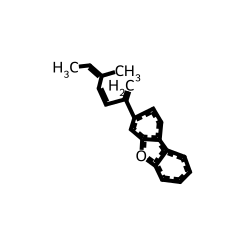 C=C(/C=C\C(C)=C/C)c1ccc2c(c1)oc1ccccc12